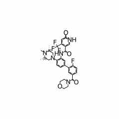 C[C@@H]1CN(c2ccc(-c3cc(C(=O)N4CCOCC4)ccc3F)cc2NC(=O)c2c[nH]c(=O)cc2C(F)(F)F)C[C@H](C)N1C